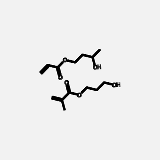 C=C(C)C(=O)OCCCO.C=CC(=O)OCCC(C)O